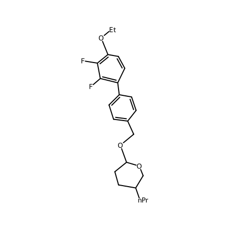 CCCC1CCC(OCc2ccc(-c3ccc(OCC)c(F)c3F)cc2)OC1